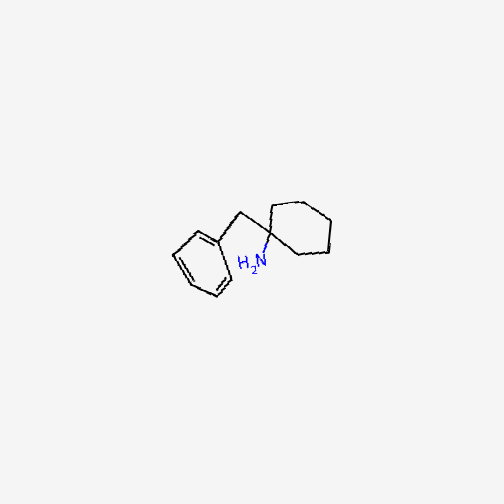 NC1(Cc2ccccc2)CCCCC1